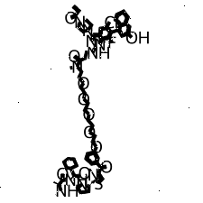 C=CC(=O)N1CCN(c2nc(NCCC(=O)N(C)CCOCCOCCOCCOCCOc3cccc(C(=O)c4csc([C@@H]5CCCN5C(=O)[C@@H](NC(=O)[C@H](C)NC)C5CCCCC5)n4)c3)nc3c(F)c(-c4cc(O)cc5ccccc45)c(Cl)cc23)CC1